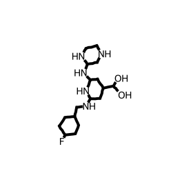 OC(O)C1CC(NCC2CCC(F)CC2)NC(NC2CNCCN2)C1